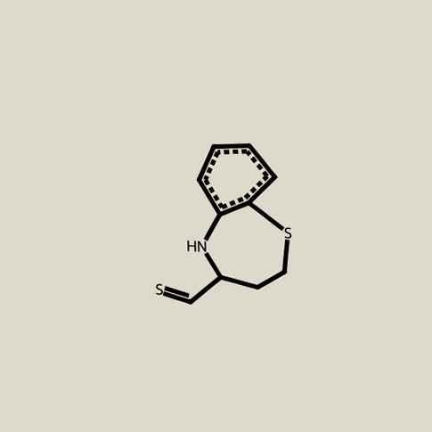 S=CC1CCSc2ccccc2N1